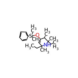 CCC1(C)CC(O[Si](C)(C)c2ccccc2)C(C)C(C)(CC)N1